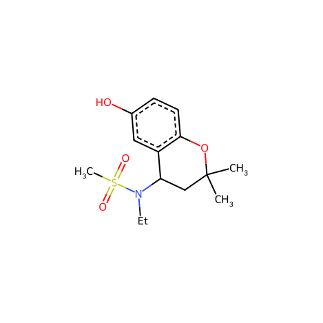 CCN(C1CC(C)(C)Oc2ccc(O)cc21)S(C)(=O)=O